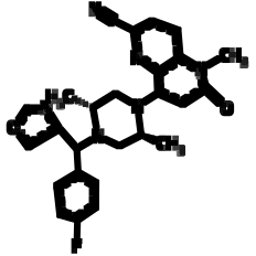 C[C@@H]1CN(c2cc(=O)n(C)c3ccc(C#N)nc23)[C@@H](C)CN1C(c1ccc(F)cc1)c1cocn1